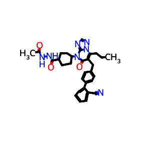 CCCc1c(Cc2ccc(-c3ccccc3C#N)cc2)c(=O)n(C2CCC(C(=O)NNC(C)=O)CC2)c2ncnn12